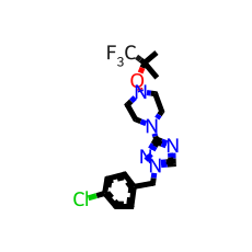 CC(C)(ON1CCN(c2ncn(Cc3ccc(Cl)cc3)n2)CC1)C(F)(F)F